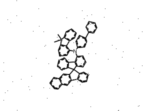 CC1(C)c2ccccc2-c2c(N(c3ccc(-c4ccccc4)cc3)c3cccc4c3-c3ccccc3C43c4ccccc4-c4cc5ccccc5cc43)cccc21